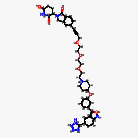 O=C1CCC(N2Cc3cc(C#CCOCCOCCOCCN4CCC(Oc5cccc(-c6onc7ccc(-c8nnn[nH]8)cc67)c5)CC4)ccc3C2=O)C(=O)N1